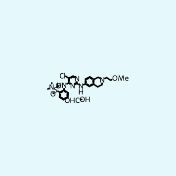 COCCN1CCc2cc(Nc3ncc(Cl)c(Nc4ccccc4S(=O)(=O)N(C)C)n3)ccc2C1.O=CO